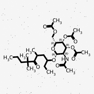 CCCC(C)(C)C(=O)C(C)CC(CC)O[C@@H]1O[C@H](COC(C)=O)[C@H](OC(C)=O)[C@H](OC(C)=O)[C@H]1NC(C)=O